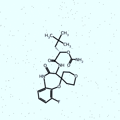 CC(C)(C)C[C@H](OC(N)=O)C(=O)NC1C(=O)Nc2cccc(F)c2OC12CCOCC2